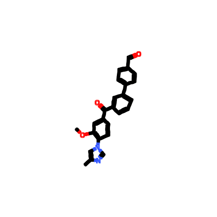 COc1cc(C(=O)c2cccc(-c3ccc(C=O)cc3)c2)ccc1-n1cnc(C)c1